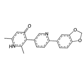 Cc1cc(=O)c(-c2ccc(-c3ccc4c(c3)OCO4)nc2)c(C)[nH]1